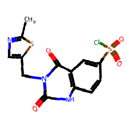 Cc1ncc(Cn2c(=O)[nH]c3ccc(S(=O)(=O)Cl)cc3c2=O)s1